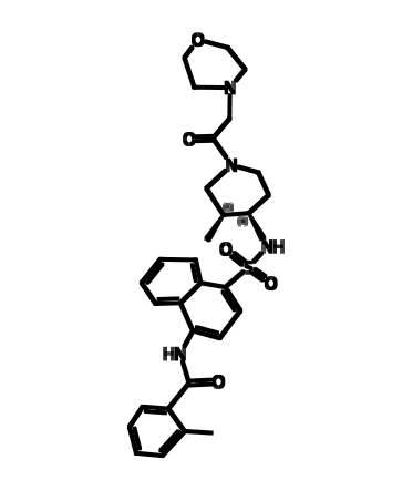 Cc1ccccc1C(=O)Nc1ccc(S(=O)(=O)N[C@@H]2CCN(C(=O)CN3CCOCC3)C[C@@H]2C)c2ccccc12